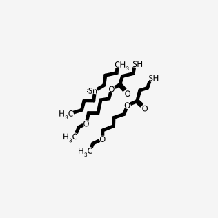 CCC[CH2][Sn][CH2]CCC.CCOCCCCOC(=O)CCS.CCOCCCCOC(=O)CCS